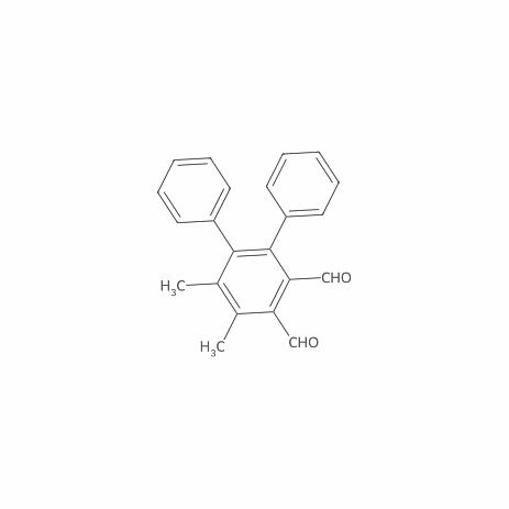 Cc1c(C)c(-c2ccccc2)c(-c2ccccc2)c(C=O)c1C=O